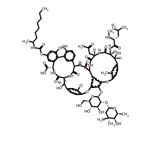 CCCCCCCC(C)NC(=O)Oc1cc(O)c2c(c1)[C@@H](C(=O)O)NC(=O)[C@H]1NC(=O)[C@H](NC(=O)[C@@H]3NC(=O)[C@H](CC(N)=O)NC(=O)[C@H](NC(=O)[C@@H](CC(C)C)NC)[C@H](O)c4ccc(c(C)c4)Oc4cc3cc(c4O[C@@H]3O[C@H](CO)[C@@H](O)[C@H](O)[C@H]3O[C@H]3C[C@](C)(N)[C@H](O)[C@H](C)O3)Oc3ccc(cc3Cl)[C@H]1O)c1ccc(O)c-2c1